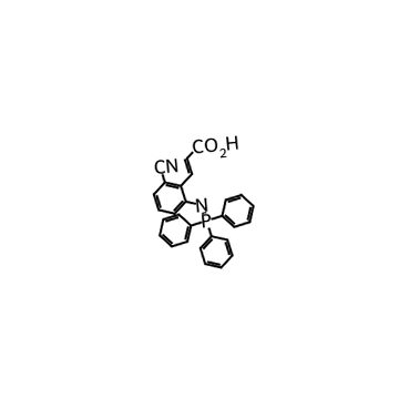 N#Cc1cccc(N=P(c2ccccc2)(c2ccccc2)c2ccccc2)c1C=CC(=O)O